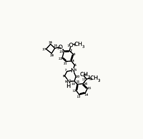 COc1cc(CN2CCNC(c3ccccc3C(C)C)C2)ccc1OC1CCC1